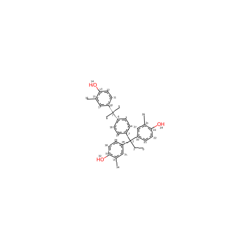 CCC(c1ccc(C(C)(C)c2ccc(O)c(C)c2)cc1)(c1ccc(O)c(C)c1)c1ccc(O)c(C)c1